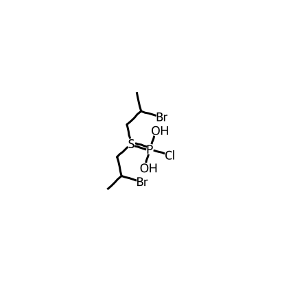 CC(Br)CS(CC(C)Br)=P(O)(O)Cl